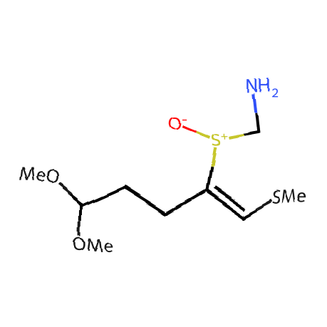 COC(CCC(=CSC)[S+]([O-])CN)OC